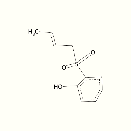 CC=CCS(=O)(=O)c1ccccc1O